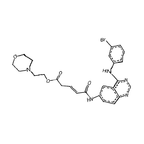 O=C(C=CCC(=O)OCCN1CCOCC1)Nc1ccc2ncnc(Nc3cccc(Br)c3)c2c1